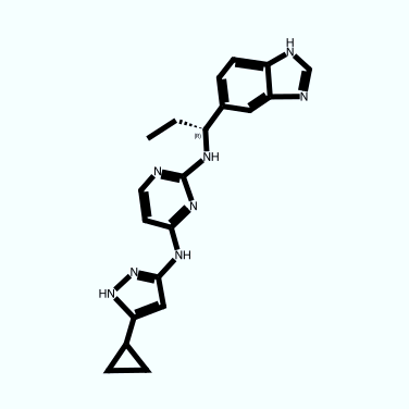 CC[C@@H](Nc1nccc(Nc2cc(C3CC3)[nH]n2)n1)c1ccc2[nH]cnc2c1